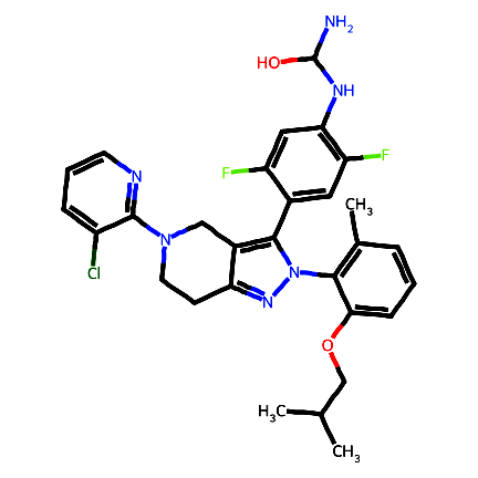 Cc1cccc(OCC(C)C)c1-n1nc2c(c1-c1cc(F)c(NC(N)O)cc1F)CN(c1ncccc1Cl)CC2